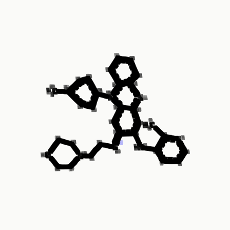 Cc1ncccc1Nc1cc2nc3ccccc3n(-c3ccc(C(F)(F)F)cc3)c-2c/c1=N\CCN1CCOCC1